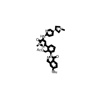 CC(=O)OCc1c(-c2cc(Nc3ccc([C@@H]4CCN(C)C4)cn3)c(=O)n(C)n2)cccc1-n1ncc2cc(C(C)(C)C)ccc2c1=O